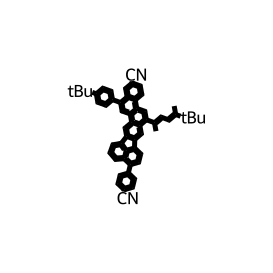 C/C(=C\C=C(/C)C(C)(C)C)c1cc2c3ccc(C#N)cc3c(-c3ccc(C(C)(C)C)cc3)cc2c2cc3c(cc12)-c1ccc(-c2ccc(C#N)cc2)c2cccc-3c12